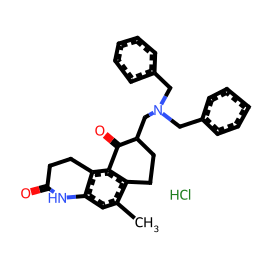 Cc1cc2c(c3c1CCC(CN(Cc1ccccc1)Cc1ccccc1)C3=O)CCC(=O)N2.Cl